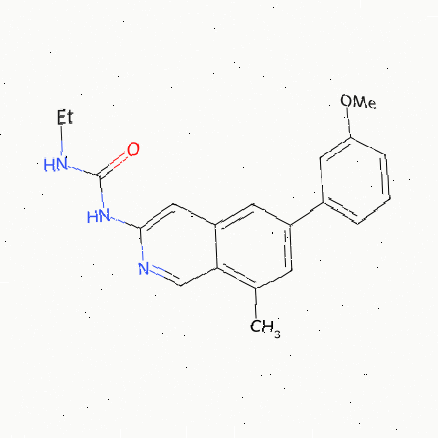 CCNC(=O)Nc1cc2cc(-c3cccc(OC)c3)cc(C)c2cn1